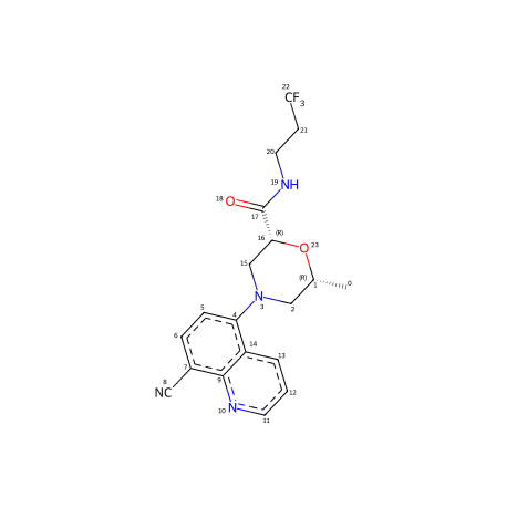 C[C@@H]1CN(c2ccc(C#N)c3ncccc23)C[C@H](C(=O)NCCC(F)(F)F)O1